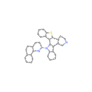 c1ccc2c(c1)ccc1ccc(-n3c4ccccc4c4c5cnccc5c5sc6ccccc6c5c43)nc12